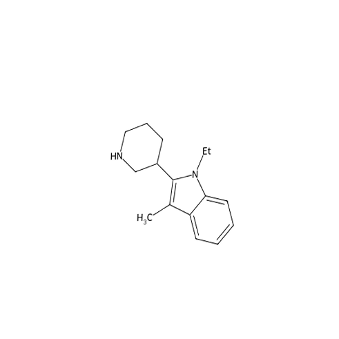 CCn1c(C2CCCNC2)c(C)c2ccccc21